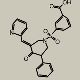 O=C(O)c1cccc(S(=O)(=O)N2CC(=Cc3ccccn3)C(=O)C(c3ccccc3)C2)c1